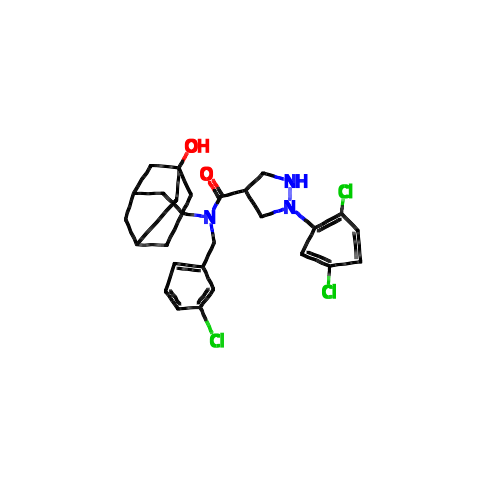 O=C(C1CNN(c2cc(Cl)ccc2Cl)C1)N(Cc1cccc(Cl)c1)C12CC3CC(CC(O)(C3)C1)C2